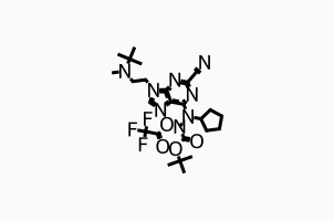 CN(CCn1cnc2c(N(C3CCCC3)N(OC(=O)C(F)(F)F)C(=O)OC(C)(C)C)nc(C#N)nc21)C(C)(C)C